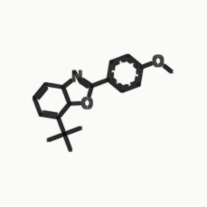 COc1ccc(C2=NC3C=CC=C(C(C)(C)C)C3O2)cc1